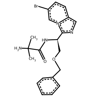 CC(C)(N)C(=O)N[C@H](COCc1ccccc1)c1ncc2ccc(Br)cn12